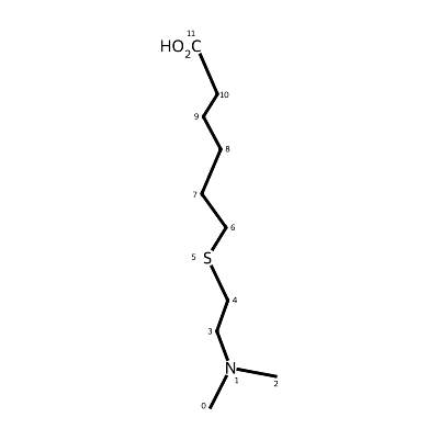 CN(C)CCSCCCCCC(=O)O